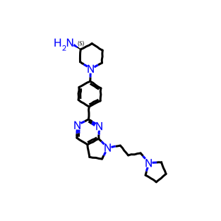 N[C@H]1CCCN(c2ccc(-c3ncc4c(n3)N(CCCN3CCCC3)CC4)cc2)C1